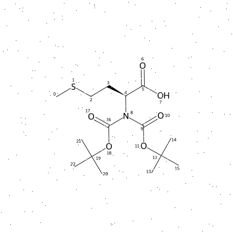 CSCC[C@@H](C(=O)O)N(C(=O)OC(C)(C)C)C(=O)OC(C)(C)C